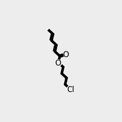 CC=CC=CC(=O)OCCCCCl